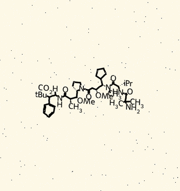 CO[C@H]([C@@H](C)C(=O)NC(C(=O)O)C(c1ccccc1)C(C)(C)C)[C@@H]1CCCN1C(=O)C[C@@H](OC)[C@H](C1CCCC1)N(C)C(=O)[C@@H](NC(=O)C(C)(C)N)C(C)C